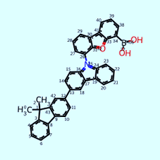 CC1(C)c2ccccc2-c2ccc(-c3ccc4c(c3)c3ccccc3n4-c3cccc4c3oc3c(B(O)O)cccc34)cc21